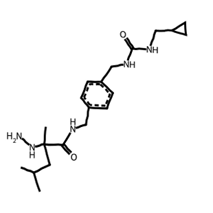 CC(C)CC(C)(NN)C(=O)NCc1ccc(CNC(=O)NCC2CC2)cc1